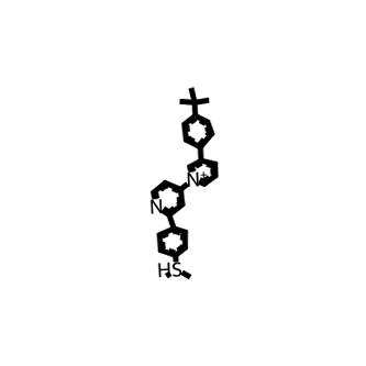 C[SH](C)c1ccc(-c2cc(-[n+]3cccc(-c4ccc(C(C)(C)C)cc4)c3)ccn2)cc1